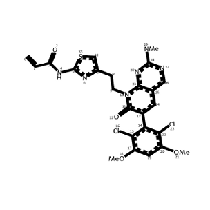 C=CC(=O)Nc1nc(CCn2c(=O)c(-c3c(Cl)c(OC)cc(OC)c3Cl)cc3cnc(NC)nc32)cs1